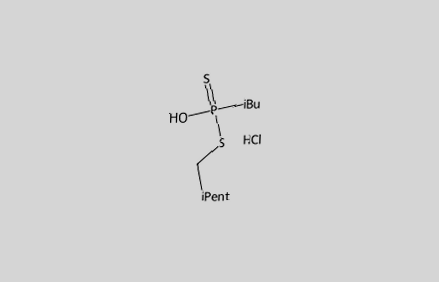 CCCC(C)CSP(O)(=S)C(C)CC.Cl